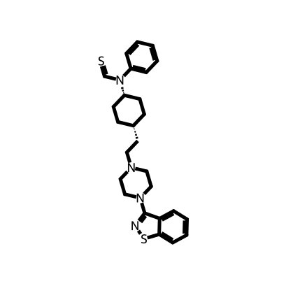 S=CN(c1ccccc1)[C@H]1CC[C@@H](CCN2CCN(c3nsc4ccccc34)CC2)CC1